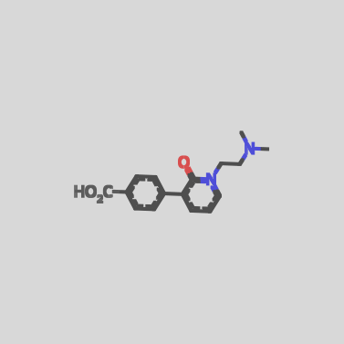 CN(C)CCn1cccc(-c2ccc(C(=O)O)cc2)c1=O